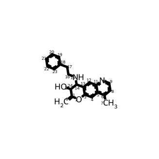 C=C1Oc2cc3c(C)ccnc3cc2C(NCCc2ccccc2)C1O